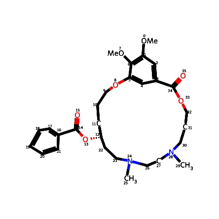 COc1cc2cc(c1OC)OCCC[C@@H](OC(=O)c1ccccc1)CCN(C)CCN(C)CCCOC2=O